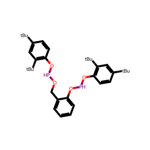 CC(C)(C)c1ccc(OPOCc2ccccc2OPOc2ccc(C(C)(C)C)cc2C(C)(C)C)c(C(C)(C)C)c1